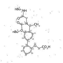 CCCCNC(=O)CN(C(=O)OCCCC)C(C)c1ccc(-c2ccccc2OCC(=O)O)cc1